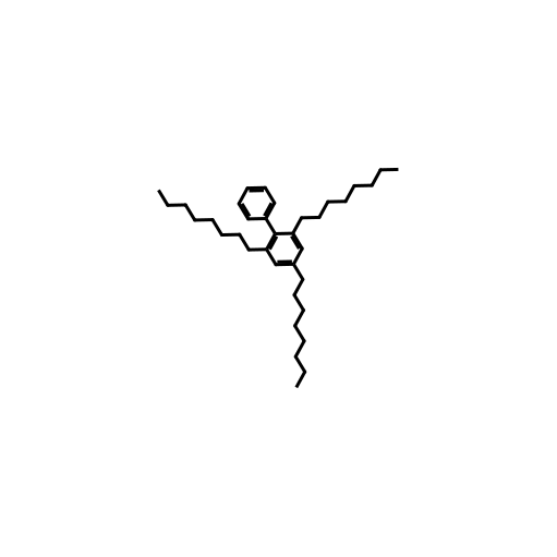 CCCCCCCCc1cc(CCCCCCCC)c(-c2ccccc2)c(CCCCCCCC)c1